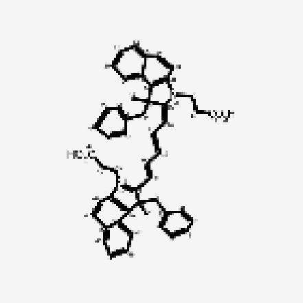 CC1(Cc2ccccc2)C(/C=C/C=C/C=C2/N(CCC(=O)O)c3ccc4ccccc4c3C2(C)Cc2ccccc2)=[N+](CCC(=O)O)c2ccc3ccccc3c21